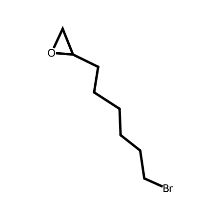 BrCCCCCCC1CO1